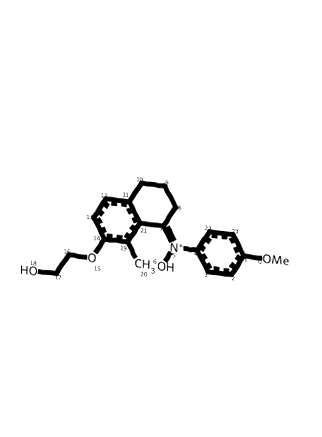 COc1ccc(/[N+](O)=C2\CCCc3ccc(OCCO)c(C)c32)cc1